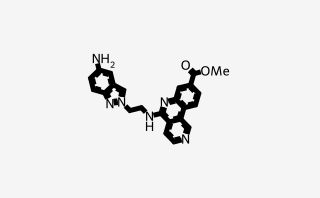 COC(=O)c1ccc2c(c1)nc(NCCn1cc3cc(N)ccc3n1)c1ccncc12